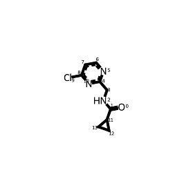 O=C(NCc1nccc(Cl)n1)C1CC1